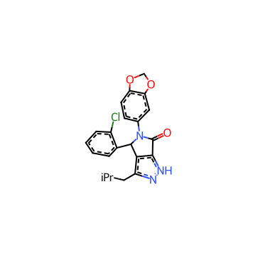 CC(C)Cc1n[nH]c2c1C(c1ccccc1Cl)N(c1ccc3c(c1)OCO3)C2=O